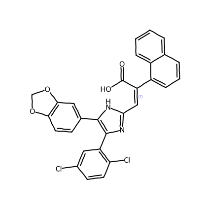 O=C(O)/C(=C\c1nc(-c2cc(Cl)ccc2Cl)c(-c2ccc3c(c2)OCO3)[nH]1)c1cccc2ccccc12